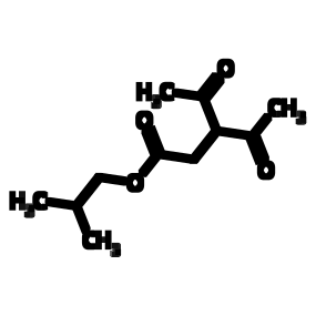 CC(=O)C(CC(=O)OCC(C)C)C(C)=O